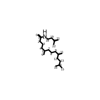 C=C(CCCC(C)CCCC(C)CCC(C)C)NCCC(C)C